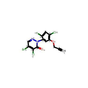 C#CCOc1cc(-n2ncc(Br)c(Cl)c2=O)c(F)cc1Cl